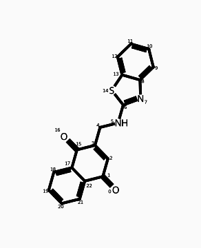 O=C1C=C(CNc2nc3ccccc3s2)C(=O)c2ccccc21